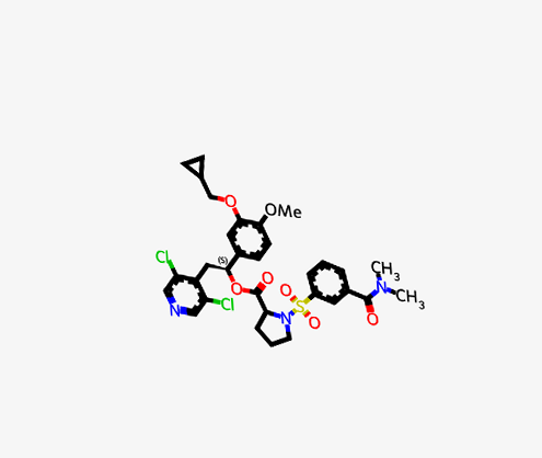 COc1ccc([C@H](Cc2c(Cl)cncc2Cl)OC(=O)C2CCCN2S(=O)(=O)c2cccc(C(=O)N(C)C)c2)cc1OCC1CC1